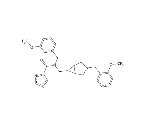 O=C(c1cscn1)N(Cc1cccc(OC(F)(F)F)c1)CC1C2CN(Cc3ccccc3OC(F)(F)F)CC21